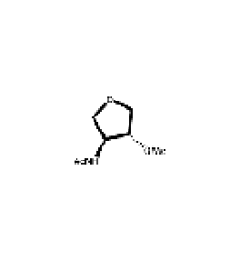 CO[C@H]1COC[C@@H]1NC(C)=O